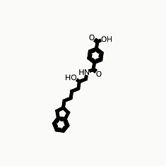 O=C(O)c1ccc(C(=O)NCC(O)CCCCC2Cc3ccccc3C2)cc1